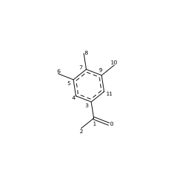 C=C(C)c1cc(C)c(C)c(C)c1